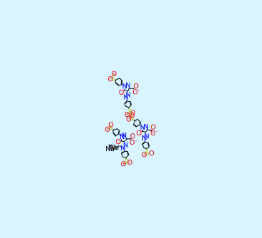 O=C([O-])C1=NN(C2=CCC(=S(=O)=O)C=C2)C(=O)C1N=NC1=CCC(=S(=O)=O)C=C1.O=C([O-])C1=NN(C2=CCC(=S(=O)=O)C=C2)C(=O)C1N=NC1=CCC(=S(=O)=O)C=C1.O=C([O-])C1=NN(C2=CCC(=S(=O)=O)C=C2)C(=O)C1N=NC1=CCC(=S(=O)=O)C=C1.[Na+].[Na+].[Na+]